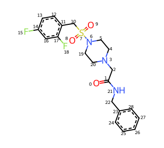 O=C(CN1CCN(S(=O)(=O)Cc2ccc(F)cc2F)CC1)NCc1ccccc1